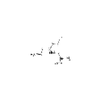 C=C/C=C(/CCF)NCN(CC)CCC